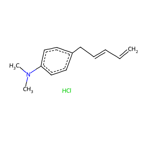 C=CC=CCc1ccc(N(C)C)cc1.Cl